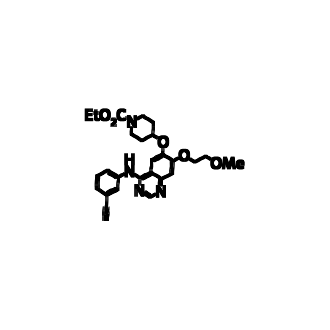 C#Cc1cccc(Nc2ncnc3cc(OCCOC)c(OC4CCN(C(=O)OCC)CC4)cc23)c1